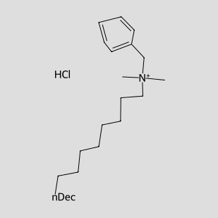 CCCCCCCCCCCCCCCCCC[N+](C)(C)Cc1ccccc1.Cl